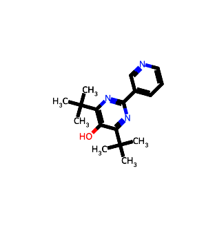 CC(C)(C)c1nc(-c2cccnc2)nc(C(C)(C)C)c1O